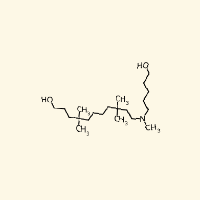 CN(CCCCCO)CCC(C)(C)CCCCC(C)(C)CCCO